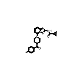 O=C(Nc1nc2cccc(N3CCC(C(=O)c4ccc(F)cc4)CC3)n2n1)C1CC1